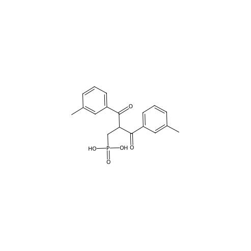 Cc1cccc(C(=O)C(CP(=O)(O)O)C(=O)c2cccc(C)c2)c1